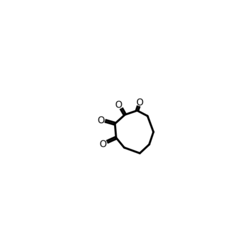 O=C1CCCCCC(=O)C(=O)C1=O